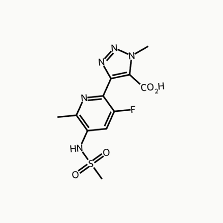 Cc1nc(-c2nnn(C)c2C(=O)O)c(F)cc1NS(C)(=O)=O